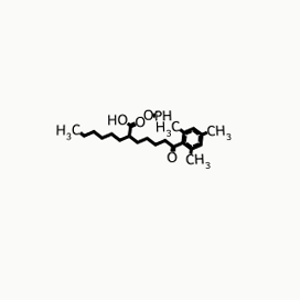 CCCCCCC(CCCCC(=O)c1c(C)cc(C)cc1C)C(=O)O.O=P